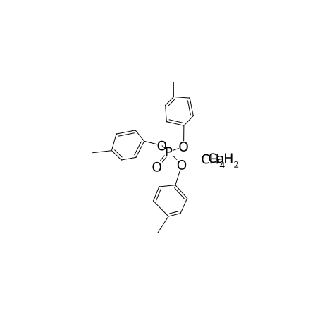 C.Cc1ccc(OP(=O)(Oc2ccc(C)cc2)Oc2ccc(C)cc2)cc1.[CaH2]